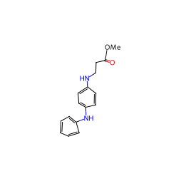 COC(=O)CCNc1ccc(Nc2ccccc2)cc1